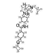 O=C(Nc1ccc(N2CC[C@@H]3CN(CC4CC4)C[C@@H]32)cc1)c1ccc(COC2CCC2)cc1